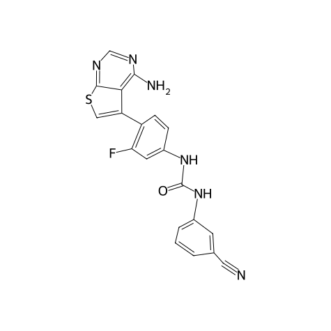 N#Cc1cccc(NC(=O)Nc2ccc(-c3csc4ncnc(N)c34)c(F)c2)c1